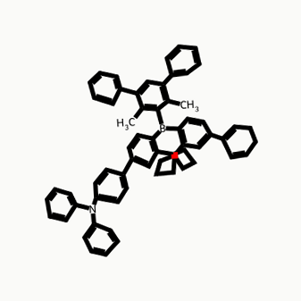 Cc1c(-c2ccccc2)cc(-c2ccccc2)c(C)c1B(c1ccc(C2=CCCC=C2)cc1C1CCC1)c1ccc(-c2ccc(N(c3ccccc3)c3ccccc3)cc2)cc1C1CCC1